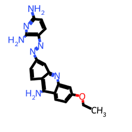 CCOc1ccc2c(N)c3ccc(N=Nc4ccc(N)nc4N)cc3nc2c1